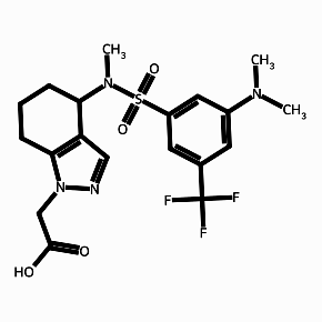 CN(C)c1cc(C(F)(F)F)cc(S(=O)(=O)N(C)C2CCCc3c2cnn3CC(=O)O)c1